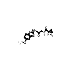 NC1(C(=O)NCC(=O)Nc2nc3ccc(OC(F)(F)F)cc3s2)CC1